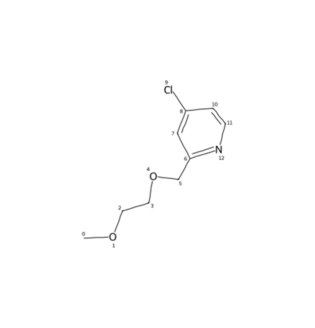 COCCOCc1cc(Cl)ccn1